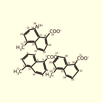 Cc1cccc2c(C(=O)[O-])cccc12.Cc1cccc2c(C(=O)[O-])cccc12.Cc1cccc2c(C(=O)[O-])cccc12.[Al+3]